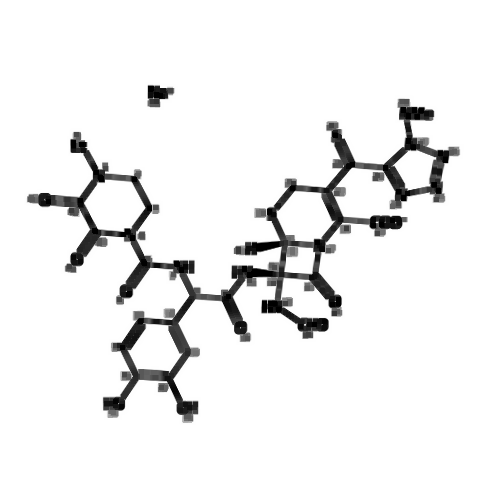 CCN1CCN(C(=O)NC(C(=O)N[C@]2(NC=O)C(=O)N3C(C(=O)[O-])=C(C(=S)c4nnnn4NC)CS[C@H]32)c2ccc(O)c(O)c2)C(=O)C1=O.[Na+]